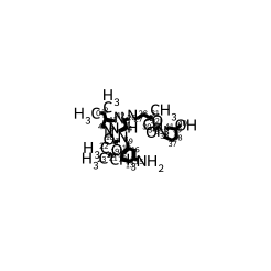 CC(C)c1cnn2c(N(Cc3cccc(N)c3)C(=O)OC(C)(C)C)cc(NCCC(C)(C)OC(=O)N3CCCC(O)C3)nc12